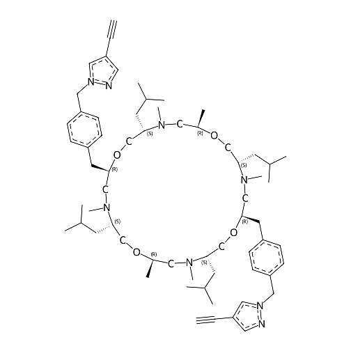 C#Cc1cnn(Cc2ccc(C[C@@H]3CN(C)[C@@H](CC(C)C)CO[C@H](C)CN(C)[C@@H](CC(C)C)CO[C@H](Cc4ccc(Cn5cc(C#C)cn5)cc4)CN(C)[C@@H](CC(C)C)CO[C@H](C)CN(C)[C@@H](CC(C)C)CO3)cc2)c1